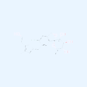 Cc1cc(Cc2cc3c(cc2Cl)CO[C@]32O[C@H](C)[C@@H](O)[C@H](O)[C@H]2O)sc1CCO